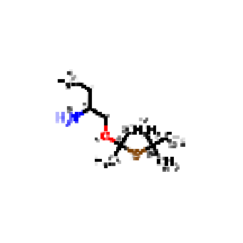 CCC(N)COC(C)(C)SC(C)(C)C